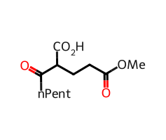 CCCCCC(=O)C(CCC(=O)OC)C(=O)O